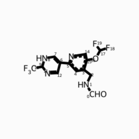 O=CNCc1cc(C2=CNC(C(F)(F)F)N=C2)ncc1OC(F)F